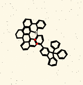 c1ccc(-c2ccccc2N(c2ccc(-c3ccc4c(c3)C(c3ccccc3)(c3ccccc3)c3ccccc3-4)cc2)c2ccccc2-c2cccc3cccc(C4CCCCC4)c23)cc1